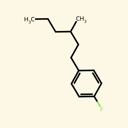 CCCC(C)CCc1ccc(F)cc1